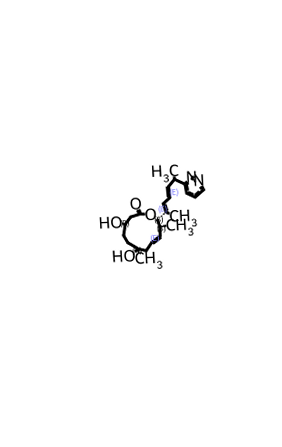 C/C(=C\C=C\C(C)c1cccnn1)[C@H]1OC(=O)C[C@H](O)CC[C@@](C)(O)C/C=C/[C@@H]1C